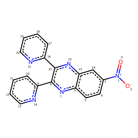 O=[N+]([O-])c1ccc2nc(-c3ccccn3)c(-c3ccccn3)nc2c1